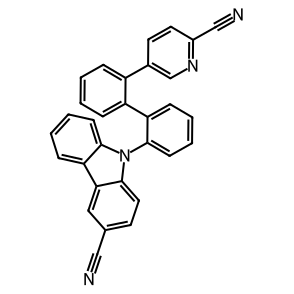 N#Cc1ccc2c(c1)c1ccccc1n2-c1ccccc1-c1ccccc1-c1ccc(C#N)nc1